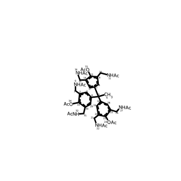 CC(=O)NCc1cc(C(C)(c2cc(CNC(C)=O)c(OC(C)=O)c(CNC(C)=O)c2)c2cc(CNC(C)=O)c(OC(C)=O)c(CNC(C)=O)c2)cc(CNC(C)=O)c1OC(C)=O